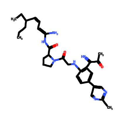 CCCC(/C=C\C=C(/N)NC(=O)C1CCCN1C(=O)CNc1ccc(-c2cnc(C)nc2)cc1C(=N)C(C)=O)CC